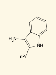 CCCc1[nH]c2ccccc2c1N